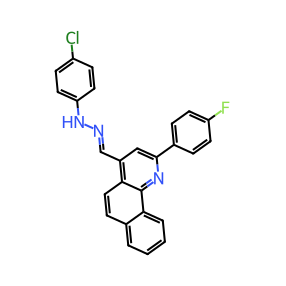 Fc1ccc(-c2cc(C=NNc3ccc(Cl)cc3)c3ccc4ccccc4c3n2)cc1